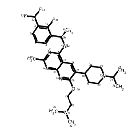 Cc1nc(N[C@H](C)c2cccc(C(F)F)c2F)c2cc(C3CCN(C(C)C)CC3)c(OCCN(C)C)nc2n1